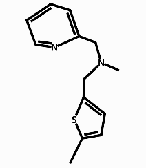 Cc1ccc(CN(C)Cc2ccccn2)s1